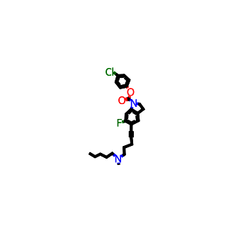 CCCCCN(C)CCCC#Cc1cc2c(cc1F)N(C(=O)Oc1ccc(Cl)cc1)CC2